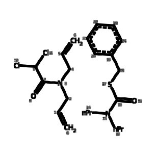 C=CCN(CC=C)C(=O)C(Cl)Cl.CCCN(CCC)C(=O)SCc1ccccc1